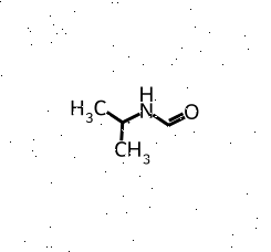 C[C](C)NC=O